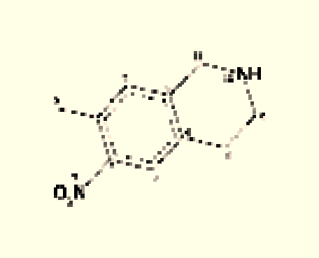 Cc1cc2c(cc1[N+](=O)[O-])CCNC2